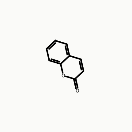 O=c1[c]cc2c[c]ccc2o1